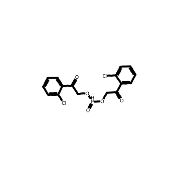 O=C(CO[PH](=O)OCC(=O)c1ccccc1Cl)c1ccccc1Cl